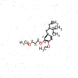 BCC(Cc1ccc(OC)c(OCCCOC)c1)C(C)C